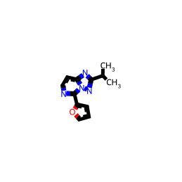 CC(C)c1nc2ccnc(-c3ccco3)n2n1